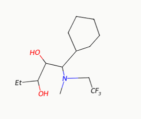 CCC(O)C(O)C(C1CCCCC1)N(C)CC(F)(F)F